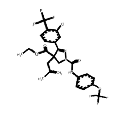 C=C(C)CC1(C(=O)OCC)CN(C(=O)Nc2ccc(OC(F)(F)F)cc2)N=C1c1ccc(C(F)(F)F)c(Cl)c1